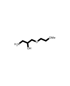 COCCOCC(O)CN